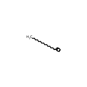 CCCCCCCCCCCCCCC/C=C1\CC2C=CC1C2